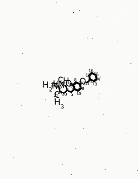 CNC(=O)C(Cc1ccc(OCc2ccccc2)cc1)CC(C)CN